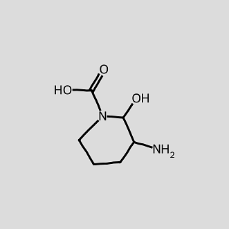 NC1CCCN(C(=O)O)C1O